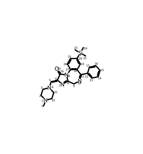 CN1CCN(/C=C2\N=C3CN=C(c4ccccc4)c4cc([Si](C)(C)C)ccc4N3C2=O)CC1